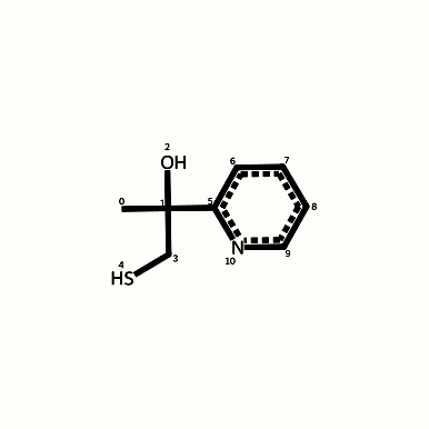 CC(O)(CS)c1ccccn1